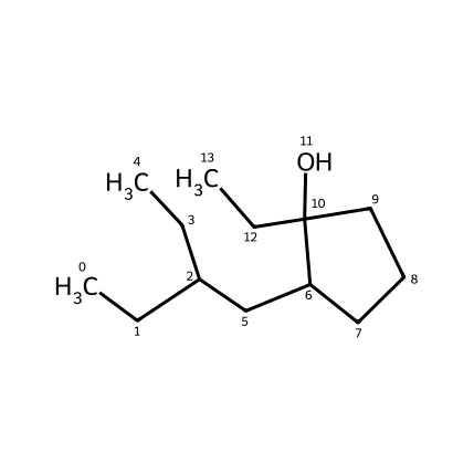 CCC(CC)CC1CCCC1(O)CC